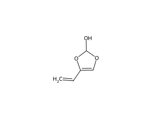 C=CC1=COC(O)O1